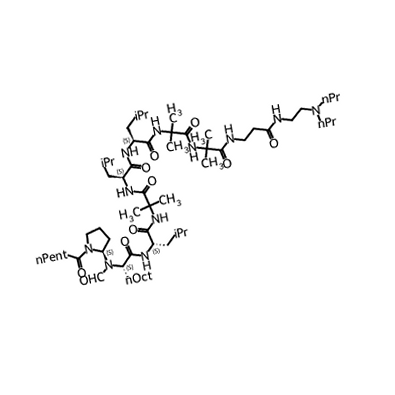 CCCCCCCC[C@@H](C(=O)N[C@@H](CC(C)C)C(=O)NC(C)(C)C(=O)N[C@@H](CC(C)C)C(=O)N[C@@H](CC(C)C)C(=O)NC(C)(C)C(=O)NC(C)(C)C(=O)NCCC(=O)NCCN(CCC)CCC)N(C=O)[C@@H]1CCCN1C(=O)CCCCC